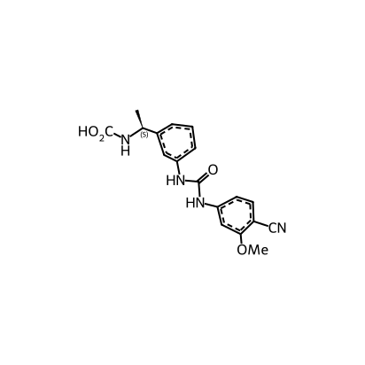 COc1cc(NC(=O)Nc2cccc([C@H](C)NC(=O)O)c2)ccc1C#N